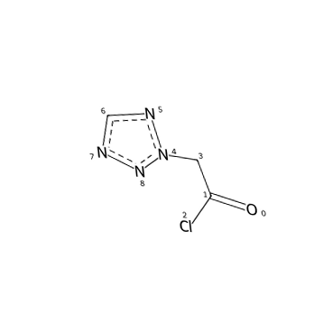 O=C(Cl)Cn1ncnn1